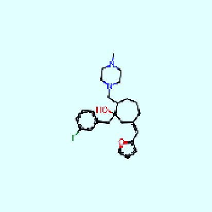 CN1CCN(CC2CCCC(=Cc3ccco3)CC2(O)Cc2cccc(F)c2)CC1